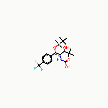 CC(C)(C)C(O)[C@@H](NC(=O)O)[C@H](O[Si](C)(C)C(C)(C)C)c1ccc(C(F)(F)F)cc1